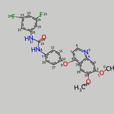 COc1cc2nccc(Oc3ccc(NC(=O)Nc4cc(F)cc(F)c4)cc3)c2cc1OC